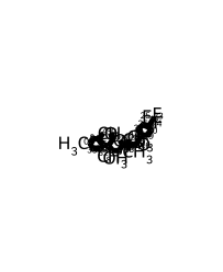 Cc1cc(C)c(C2=C(O)CC(C(C)(C)CS(=O)(=O)c3ccc(C(F)(F)F)cc3)OC2=O)c(C)c1